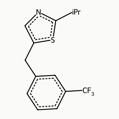 CC(C)c1ncc(Cc2cccc(C(F)(F)F)c2)s1